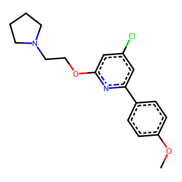 COc1ccc(-c2cc(Cl)cc(OCCN3CCCC3)n2)cc1